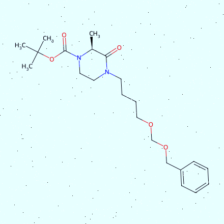 C[C@H]1C(=O)N(CCCCOCOCc2ccccc2)CCN1C(=O)OC(C)(C)C